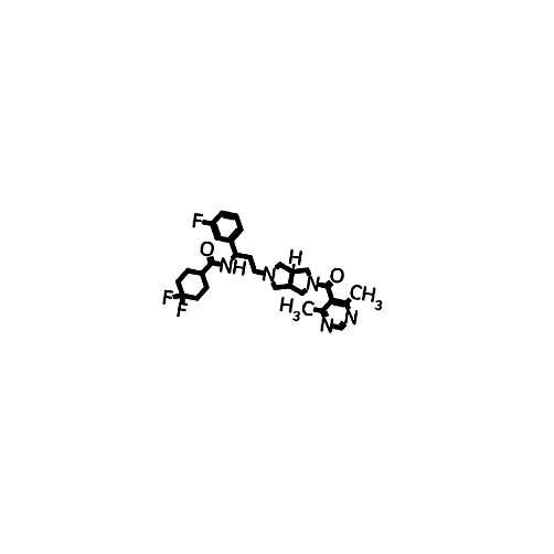 Cc1ncnc(C)c1C(=O)N1CC2CN(CCC(NC(=O)C3CCC(F)(F)CC3)c3cccc(F)c3)C[C@H]2C1